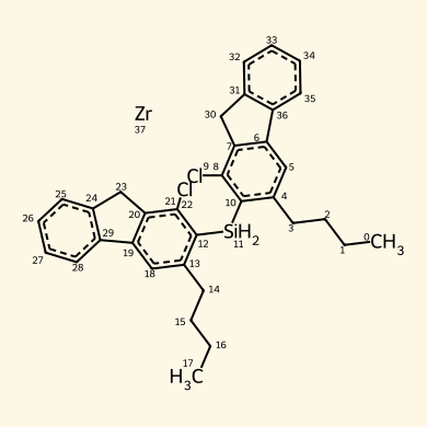 CCCCc1cc2c(c(Cl)c1[SiH2]c1c(CCCC)cc3c(c1Cl)Cc1ccccc1-3)Cc1ccccc1-2.[Zr]